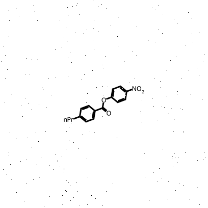 CCCc1ccc(C(=O)Oc2ccc([N+](=O)[O-])cc2)cc1